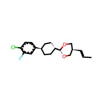 CC=C[C@H]1CO[C@H]([C@H]2CC[C@H](c3ccc(Cl)c(F)c3)CC2)OC1